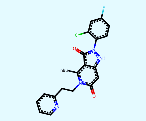 CCCCc1c2c(=O)n(-c3ccc(F)cc3Cl)[nH]c2cc(=O)n1CCc1ccccn1